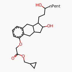 CCCCCC(O)CCC1C(O)CC2Cc3c(cccc3OCC(=O)OCC3CC3)CC21